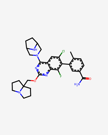 Cc1ccc(C(N)=O)cc1-c1c(Cl)cc2c(N3CC4CCC(C3)N4)nc(OCC34CCCN3CCC4)nc2c1F